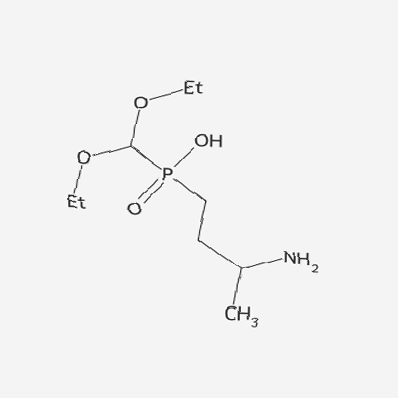 CCOC(OCC)P(=O)(O)CCC(C)N